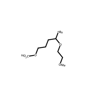 CCCCC(CCCOC(=O)O)OCCOC